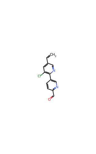 C=Cc1cnc(-c2ccc(C=O)nc2)c(Cl)c1